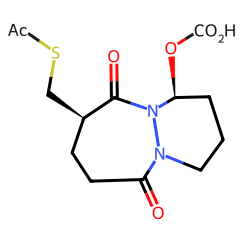 CC(=O)SC[C@@H]1CCC(=O)N2CCC[C@H](OC(=O)O)N2C1=O